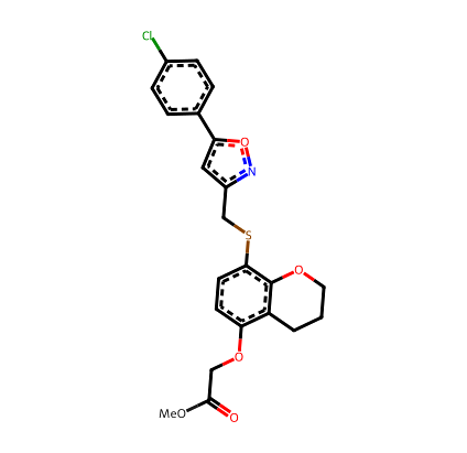 COC(=O)COc1ccc(SCc2cc(-c3ccc(Cl)cc3)on2)c2c1CCCO2